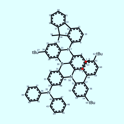 Cc1cc2c3c(c1)N(c1cccc4c1C(C)(C)c1ccccc1-4)c1ccc(C(C)(C)C)cc1B3c1ccc(N(c3ccccc3)c3ccccc3)cc1N2c1ccc(C(C)(C)C)cc1-c1ccc(C(C)(C)C)cc1